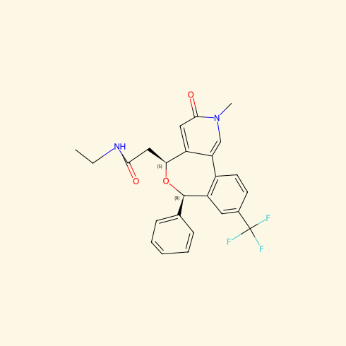 CCNC(=O)C[C@@H]1O[C@H](c2ccccc2)c2cc(C(F)(F)F)ccc2-c2cn(C)c(=O)cc21